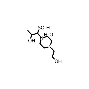 CC(O)C(N1CCN(CCO)CC1)S(=O)(=O)O.O